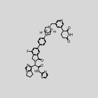 O=C1CCC(c2cncc(CN3C[C@H]4C[C@@H]3CN4c3ccc(-c4cc(F)c5c(c4)C(=O)N(C(C(=O)Nc4nccs4)c4ncn6c4CCC6)C5)cc3)c2)C(=O)N1